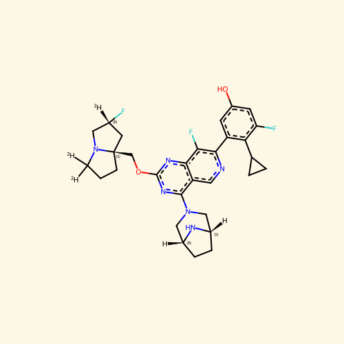 [2H]C1([2H])CC[C@@]2(COc3nc(N4C[C@H]5CC[C@@H](C4)N5)c4cnc(-c5cc(O)cc(F)c5C5CC5)c(F)c4n3)C[C@@]([2H])(F)CN12